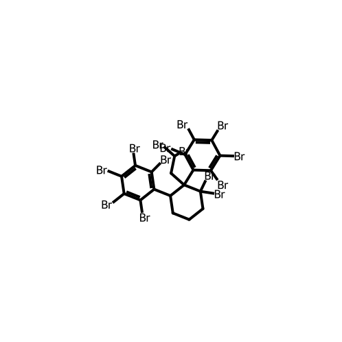 Brc1c(Br)c(Br)c(C2CCCC(Br)(Br)C2(CC(Br)Br)c2c(Br)c(Br)c(Br)c(Br)c2Br)c(Br)c1Br